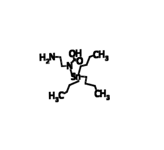 CCC[CH2][Sn]([CH2]CCC)([CH2]CCC)[CH2]N(CCN)C(=O)O